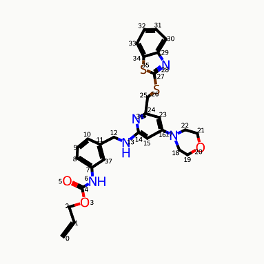 C=CCOC(=O)Nc1cccc(CNc2cc(N3CCOCC3)cc(CSc3nc4ccccc4s3)n2)c1